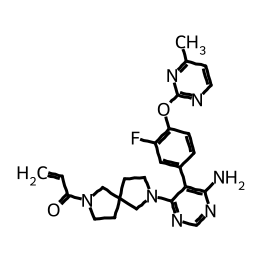 C=CC(=O)N1CCC2(CCN(c3ncnc(N)c3-c3ccc(Oc4nccc(C)n4)c(F)c3)C2)C1